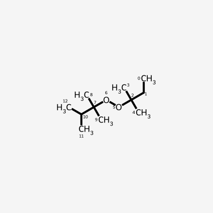 CCC(C)(C)OOC(C)(C)C(C)C